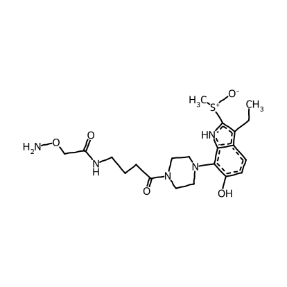 CCc1c([S+](C)[O-])[nH]c2c(N3CCN(C(=O)CCCNC(=O)CON)CC3)c(O)ccc12